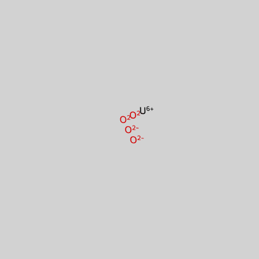 [O-2].[O-2].[O-2].[O-2].[U+6]